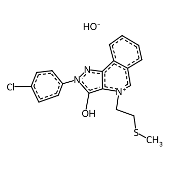 CSCC[n+]1cc2ccccc2c2nn(-c3ccc(Cl)cc3)c(O)c21.[OH-]